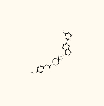 COc1ccc(CC(=O)N2CCC3(CC2)CN([C@@H]2CCc4cc(-c5nccc(C)n5)ccc42)C3)nc1